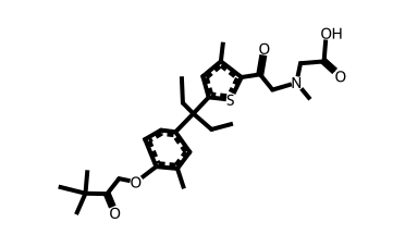 CCC(CC)(c1ccc(OCC(=O)C(C)(C)C)c(C)c1)c1cc(C)c(C(=O)CN(C)CC(=O)O)s1